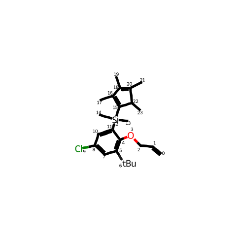 C=CCOc1c(C(C)(C)C)cc(Cl)cc1[Si](C)(C)C1=C(C)C(C)=C(C)C1C